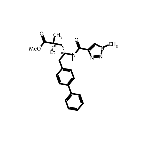 CC[C@](C)(C[C@@H](Cc1ccc(-c2ccccc2)cc1)NC(=O)c1cn(C)nn1)C(=O)OC